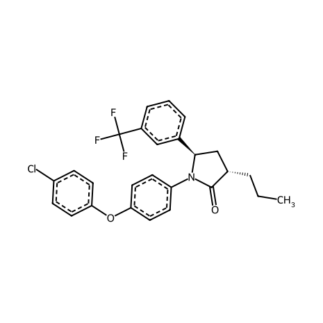 CCC[C@H]1C[C@H](c2cccc(C(F)(F)F)c2)N(c2ccc(Oc3ccc(Cl)cc3)cc2)C1=O